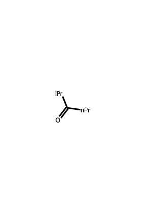 [CH2]CCC(=O)C(C)C